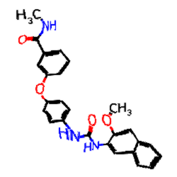 CNC(=O)c1cccc(Oc2ccc(NC(=O)Nc3cc4ccccc4cc3OC)cc2)c1